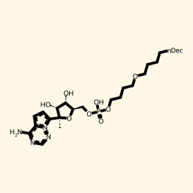 CCCCCCCCCCCCCCOCCCCOP(=O)(O)OC[C@H]1O[C@@](C)(c2ccc3c(N)ncnn23)[C@H](O)[C@@H]1O